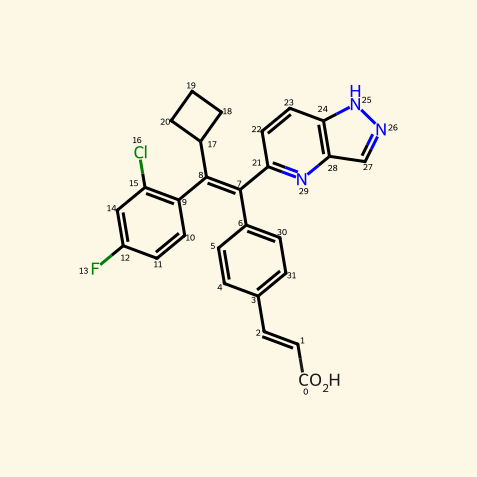 O=C(O)/C=C/c1ccc(/C(=C(\c2ccc(F)cc2Cl)C2CCC2)c2ccc3[nH]ncc3n2)cc1